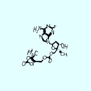 C#C[C@]1(COC(=O)OCc2oc(=O)oc2C)O[C@@H](n2cnc3c(N)nc(F)nc32)C[C@@H]1O